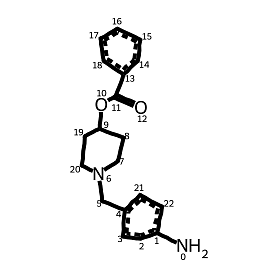 Nc1ccc(CN2CCC(OC(=O)c3ccccc3)CC2)cc1